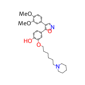 COc1ccc(-c2cnoc2-c2ccc(O)c(OCCCCCCN3CCCCC3)c2)cc1OC